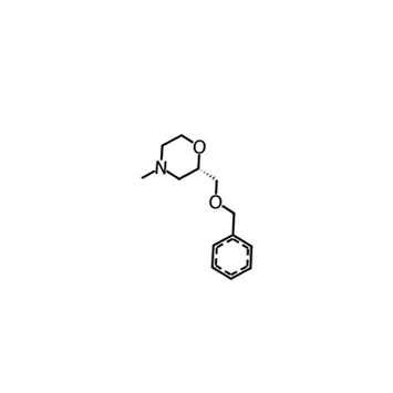 CN1CCO[C@H](COCc2ccccc2)C1